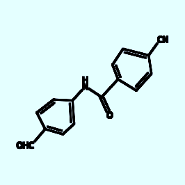 N#Cc1ccc(C(=O)Nc2ccc(C=O)cc2)cc1